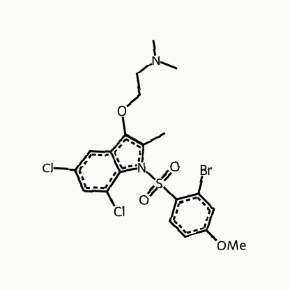 COc1ccc(S(=O)(=O)n2c(C)c(OCCN(C)C)c3cc(Cl)cc(Cl)c32)c(Br)c1